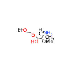 CCOCCOCC(O)C(OC)C(C)(C)N